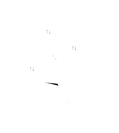 c1ccc(OC[C@H]2CCCN2c2ccnc3nccn23)cc1